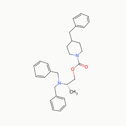 C[C@@H](COC(=O)N1CCC(Cc2ccccc2)CC1)N(Cc1ccccc1)Cc1ccccc1